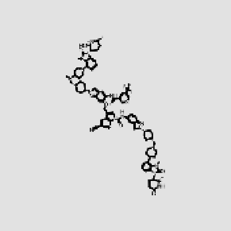 CN(C[C@H]1CC[C@H](n2cc3cc(NC(=O)c4cncc(C(F)(F)F)c4)c(OCc4cn(C(=O)Nc5ccc6nn([C@H]7CC[C@H](CN8CCC(c9cccc%10c9n(C)c(=O)n%10C9CCC(=O)NC9=O)CC8)CC7)cc6c5)c5ncc(C#N)cc45)cc3n2)CC1)C1CCN(c2cccc3c2n(C)c(=O)n3C2CCC(=O)NC2O)CC1